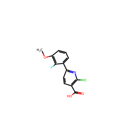 COc1cccc(-c2ccc(C(=O)O)c(Cl)n2)c1F